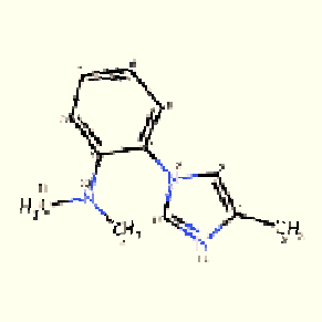 Cc1cn(-c2ccccc2N(C)C)cn1